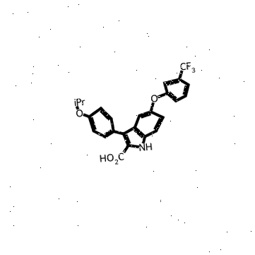 CC(C)Oc1ccc(-c2c(C(=O)O)[nH]c3ccc(Oc4cccc(C(F)(F)F)c4)cc23)cc1